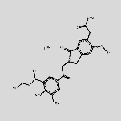 Br.CCOc1cc2c(cc1CC(=O)NC)C(=N)N(CC(=O)c1cc(N(CC)CCO)c(OC)c(C(C)(C)C)c1)C2